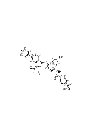 CC(=O)C1CC(CC(=O)N2C[C@H](F)C[C@H]2C(=O)Nc2noc3cc(C(F)(F)F)ccc23)c2ccc(-c3ccnnc3)cc21